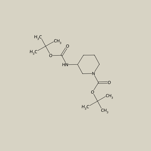 CC(C)(C)OC(=O)NC1CCCN(C(=O)OC(C)(C)C)C1